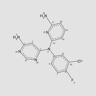 Nc1cc(N(c2ccc(F)c(Cl)c2)c2cccc(N)n2)ncn1